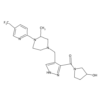 CC1CN(Cc2c[nH]nc2C(=O)N2CCC(O)C2)CCN1c1ccc(C(F)(F)F)cn1